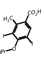 Cc1c(C(=O)O)cc(I)c(OC(C)C)c1I